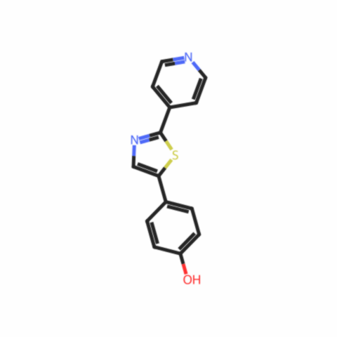 Oc1ccc(-c2cnc(-c3ccncc3)s2)cc1